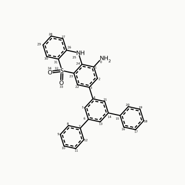 Nc1cc(-c2cc(-c3ccccc3)cc(-c3ccccc3)c2)cc2c1Nc1ccccc1S2(=O)=O